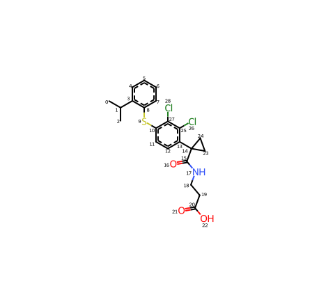 CC(C)c1ccccc1Sc1ccc(C2(C(=O)NCCC(=O)O)CC2)c(Cl)c1Cl